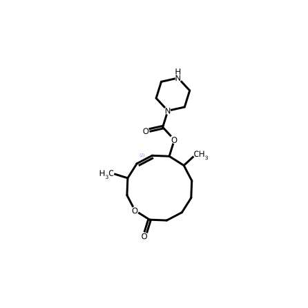 CC1/C=C\C(OC(=O)N2CCNCC2)C(C)CCCCC(=O)OC1